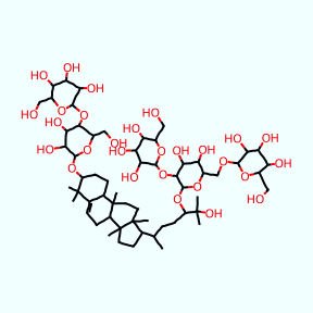 CC(CCC(OC1OC(COC2OC(CO)C(O)C(O)C2O)C(O)C(O)C1OC1OC(CO)C(O)C(O)C1O)C(C)(C)O)C1CCC2(C)C3CC=C4C(CCC(OC5OC(CO)C(OC6OC(CO)C(O)C(O)C6O)C(O)C5O)C4(C)C)C3(C)CCC12C